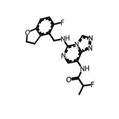 CC(F)C(=O)Nc1cnc(NCc2c(F)ccc3c2CCO3)n2cnnc12